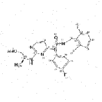 COC[C@H](C)Nc1nccc(N(C(=O)NCc2c(F)cccc2F)c2ccc(F)cc2)n1